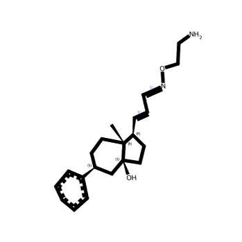 C[C@]12CC[C@H](c3ccccc3)C[C@@]1(O)CC[C@@H]2/C=C/C=N/OCCN